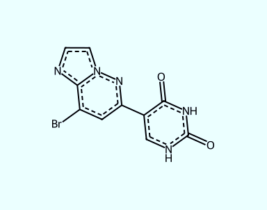 O=c1[nH]cc(-c2cc(Br)c3nccn3n2)c(=O)[nH]1